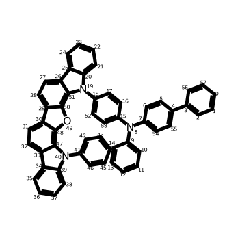 c1ccc(-c2ccc(N(c3ccccc3)c3ccc(-n4c5ccccc5c5ccc6c7ccc8c9ccccc9n(-c9ccccc9)c8c7oc6c54)cc3)cc2)cc1